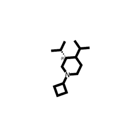 CC(C)C1CCN(C2CCC2)C[C@@H]1C(C)C